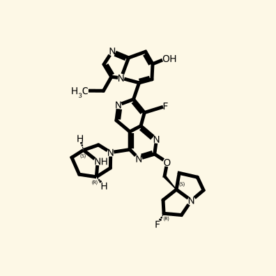 CCc1cnc2cc(O)cc(-c3ncc4c(N5C[C@H]6CC[C@@H](C5)N6)nc(OC[C@@]56CCCN5C[C@H](F)C6)nc4c3F)n12